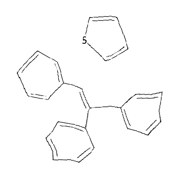 C(=C(c1ccccc1)c1ccccc1)c1ccccc1.c1ccsc1